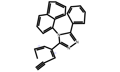 C#C/C=C(\C=C/C)c1nnc(-c2ccccc2)n1-c1cccc2ccccc12